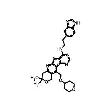 CC1(C)Cc2nc3sc4c(NCCc5ccc6[nH]cnc6c5)ncnc4c3c(COC3CCOCC3)c2CO1